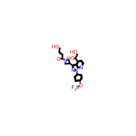 O=C(/C=C/CO)N1CC(c2nn(-c3ccc(OC(F)(F)F)cc3)c3nccc([C@@H](O)CO)c23)C1